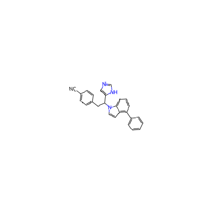 N#Cc1ccc(CC(c2cnc[nH]2)n2ccc3c(-c4ccccc4)cccc32)cc1